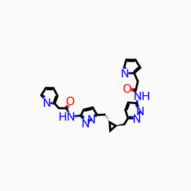 O=C(Cc1ccccn1)Nc1ccc(C[C@H]2C[C@@H]2Cc2ccc(NC(=O)Cc3ccccn3)nn2)nn1